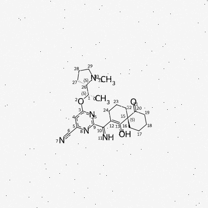 C[C@H](Oc1cc(C#N)nc(C(=N)C2=C(O)[C@]3(CCCCC3=O)CCC2)n1)[C@@H]1CCCN1C